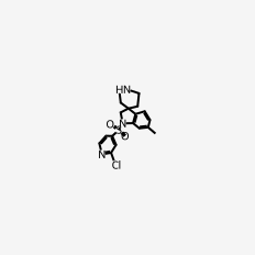 Cc1ccc2c(c1)N(S(=O)(=O)c1ccnc(Cl)c1)CC21CCNCC1